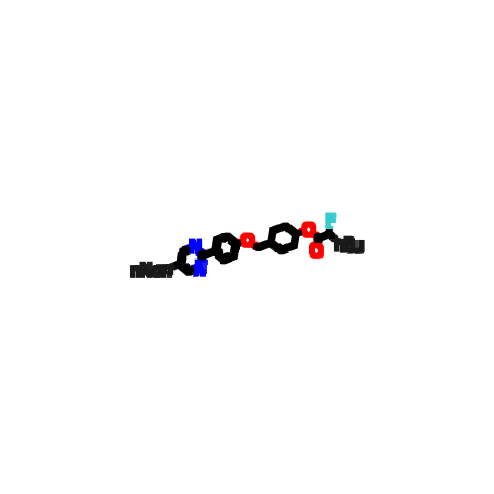 CCCCCCCCCc1cnc(-c2ccc(OCC3CCC(OC(=O)C(F)CCCC)CC3)cc2)nc1